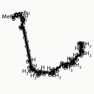 CCCCN(Cc1ccc(C(=O)OC)cc1)C(=O)Nc1ccc(OCc2cn(CCOCCOCCOCCOCCOCCOCCNC(=O)CCNC(=O)c3nc(NC(=O)c4cc(NC(=O)CCNC(=O)c5nc(NC(=O)CCCNC(=O)c6cc(NC(=O)c7nc(NC(=O)CCNC(=O)c8cc(NC(=O)c9nccn9C)cn8C)cn7C)cn6C)cn5C)cn4C)cn3C)nn2)cc1